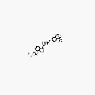 COc1cccc2c1CCCC2CCNCCc1ccc2c(=O)occc2c1